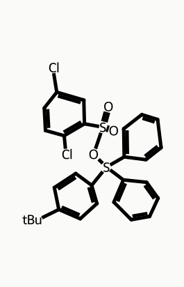 CC(C)(C)c1ccc(S(OS(=O)(=O)c2cc(Cl)ccc2Cl)(c2ccccc2)c2ccccc2)cc1